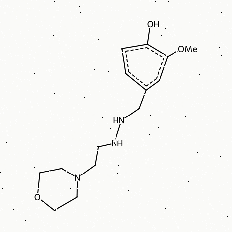 COc1cc(CNNCCN2CCOCC2)ccc1O